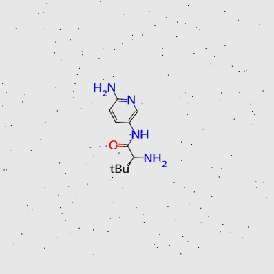 CC(C)(C)[C@H](N)C(=O)Nc1ccc(N)nc1